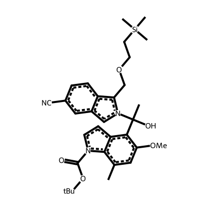 COc1cc(C)c2c(ccn2C(=O)OC(C)(C)C)c1C(C)(O)n1cc2cc(C#N)ccc2c1COCC[Si](C)(C)C